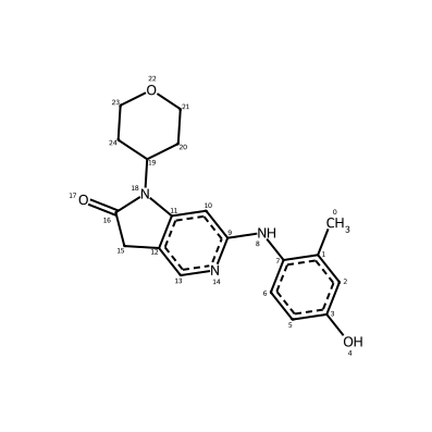 Cc1cc(O)ccc1Nc1cc2c(cn1)CC(=O)N2C1CCOCC1